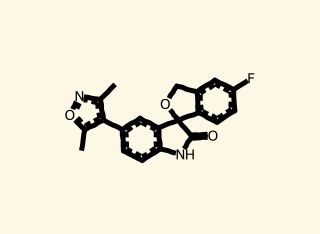 Cc1noc(C)c1-c1ccc2c(c1)C1(OCc3cc(F)ccc31)C(=O)N2